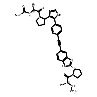 COC(=O)N[C@H](C(=O)N1CCCC1c1nc[nH]c1-c1ccc(C#Cc2ccc3[nH]c([C@@H]4CCCN4C(=O)[C@@H](NC(=O)O)C(C)C)nc3c2)cc1)C(C)C